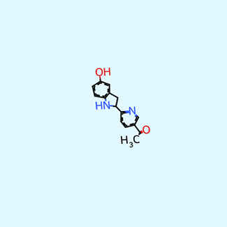 CC(=O)c1ccc(C2Cc3cc(O)ccc3N2)nc1